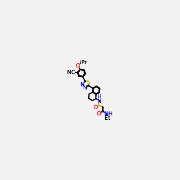 CCNC(=O)C[S+]([O-])NC1CCCc2c(-c3nnc(-c4ccc(OC(C)C)c(C#N)c4)s3)cccc21